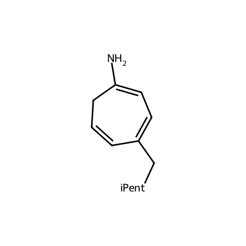 CCCC(C)CC1=CC=C(N)CC=C1